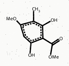 COC(=O)c1c(O)cc(OC)c(C)c1O